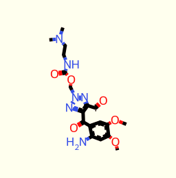 COc1cc(N)c(C(=O)c2nn(COC(=O)NCCN(C)C)nc2[C]=O)cc1OC